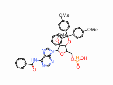 COc1ccc(C(OC2C(CO[PH](=O)O)OC(n3cnc4c(NC(=O)c5ccccc5)ncnc43)C2OSC)(c2ccccc2)c2ccc(OC)cc2)cc1